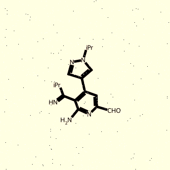 CC(C)C(=N)c1c(-c2cnn(C(C)C)c2)cc(C=O)nc1N